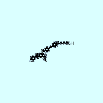 CCOC(=O)c1cc(OC(=O)c2ccc(I)cc2)ccc1OC(=O)c1ccc(C#Cc2ccc(OCCCCCCO)cc2)cc1